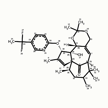 CC1=C[C@]23C(=O)[C@@H](C=C4COC(C)(C)O[C@H]4[C@]2(O)[C@H]1Oc1ccc(C(C)(F)F)cn1)C(C)(C)C(C)C[C@H]3C